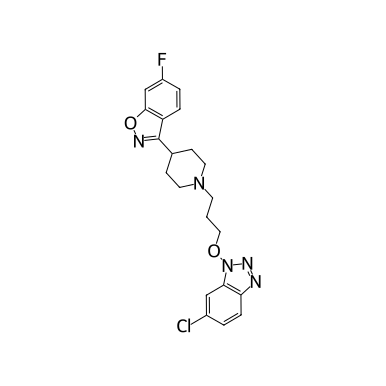 Fc1ccc2c(C3CCN(CCCOn4nnc5ccc(Cl)cc54)CC3)noc2c1